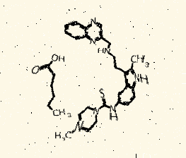 CCCCCC(=O)O.Cc1[nH]c2ccc(NC(=S)N3CCN(C)CC3)cc2c1CCNCc1cnc2ccccc2n1